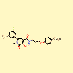 Cn1c(-c2cc(F)cc(C(F)(F)F)c2)cc(C(=O)NCCCOc2ccc(C(=O)O)cc2)c(O)c1=O